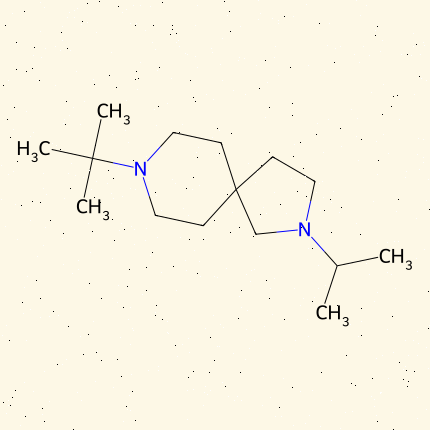 CC(C)N1CCC2(CCN(C(C)(C)C)CC2)C1